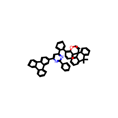 CC1(C)c2ccccc2C2(c3ccccc3Oc3c(-c4ccccc4-c4cc(-c5ccc6c7ccccc7c7ccccc7c6c5)nc(-c5ccccc5)n4)cccc32)c2ccccc21